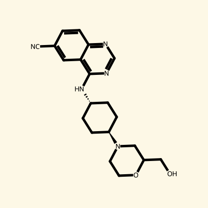 N#Cc1ccc2ncnc(N[C@H]3CC[C@H](N4CCOC(CO)C4)CC3)c2c1